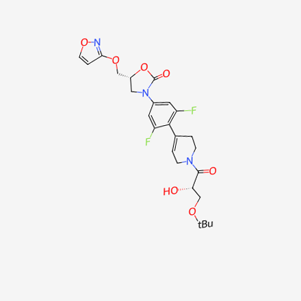 CC(C)(C)OC[C@H](O)C(=O)N1CC=C(c2c(F)cc(N3C[C@H](COc4ccon4)OC3=O)cc2F)CC1